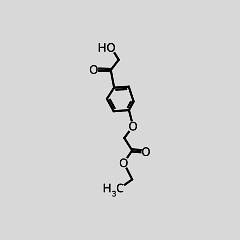 CCOC(=O)COc1ccc(C(=O)CO)cc1